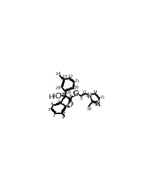 Cc1cccc(C(O)(C(=O)OCCn2ccnc2C)c2cccc(C)c2)c1